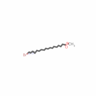 COC(=O)CCCCCCCCCCCCC/C=C/C=C/Br